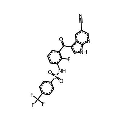 N#Cc1cnc2[nH]cc(C(=O)c3cccc(NS(=O)(=O)c4ccc(C(F)(F)F)cc4)c3F)c2c1